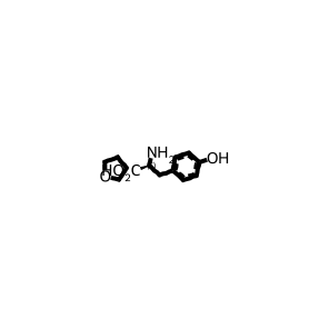 C1CCOC1.N[C@@H](Cc1ccc(O)cc1)C(=O)O